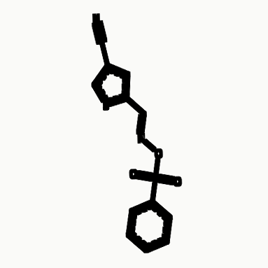 N#Cc1csc(C=NOS(=O)(=O)c2ccccc2)c1